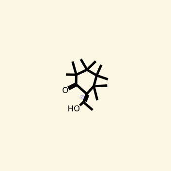 C/C(O)=C1/C(=O)C(C)(C)C(C)(C)C(C)(C)C1(C)C